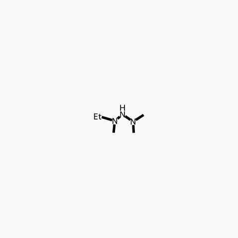 CCN(C)NN(C)C